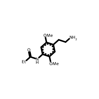 [CH2]CC(=O)Nc1cc(OC)c(CCN)cc1OC